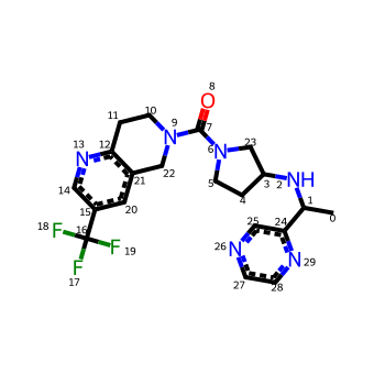 CC(NC1CCN(C(=O)N2CCc3ncc(C(F)(F)F)cc3C2)C1)c1cnccn1